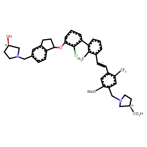 COc1cc(/C=C/c2cccc(-c3cccc(OC4CCc5cc(CN6CC[C@@H](O)C6)ccc54)c3Cl)c2C)c(C(F)(F)F)cc1CN1CC[C@@H](C(=O)O)C1